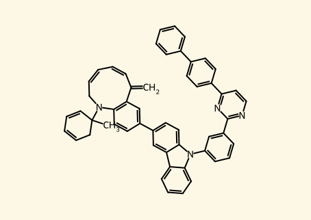 C=C1/C=C\C=C/CN(C2(C)C=CC=CC2)c2ccc(-c3ccc4c(c3)c3ccccc3n4-c3cccc(-c4nccc(-c5ccc(-c6ccccc6)cc5)n4)c3)cc21